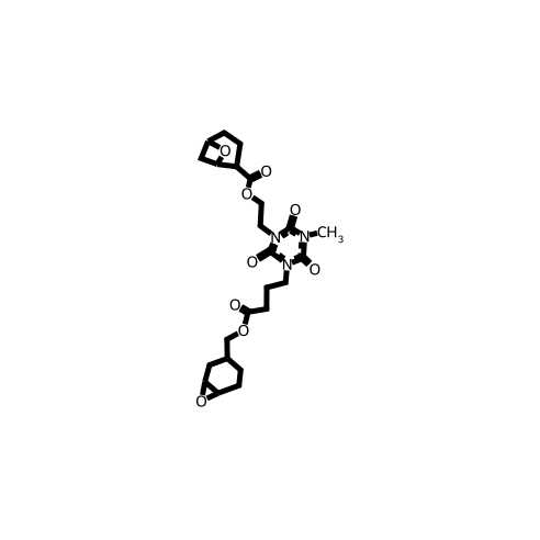 Cn1c(=O)n(CCCC(=O)OCC2CCC3OC3C2)c(=O)n(CCOC(=O)C2CCC3CC2O3)c1=O